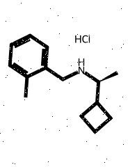 Cc1ccccc1CN[C@@H](C)C1CCC1.Cl